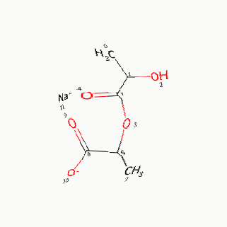 CC(O)C(=O)OC(C)C(=O)[O-].[Na+]